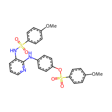 COc1ccc(S(=O)(=O)Nc2cccnc2Nc2ccc(OS(=O)(=O)c3ccc(OC)cc3)cc2)cc1